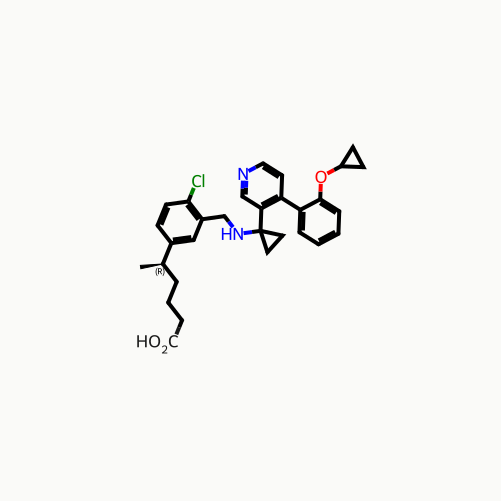 C[C@H](CCCC(=O)O)c1ccc(Cl)c(CNC2(c3cnccc3-c3ccccc3OC3CC3)CC2)c1